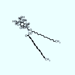 CC#CC#CC#CC#CC#CC#CC#CC(=O)OC[C@H](COP(=O)(O)OC1C(O)[C@H](O)[C@H](OP(=O)(O)O)C(OP(=O)(O)O)[C@@H]1O)OC(=O)CCCCCCCCCCCCCCC